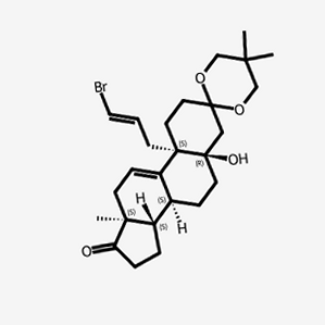 CC1(C)COC2(CC[C@]3(CC=CBr)C4=CC[C@]5(C)C(=O)CC[C@H]5[C@@H]4CC[C@@]3(O)C2)OC1